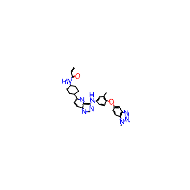 C=CC(=O)NC1CCC(c2ccc3ncnc(Nc4ccc(Oc5ccc6c(c5)nnn6C)c(C)c4)c3n2)CC1